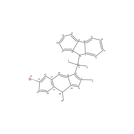 CC1=C([Si](C)(C)C2c3ccccc3-c3ccccc32)C2=Cc3cc(Br)ccc3C(C)C2=C1